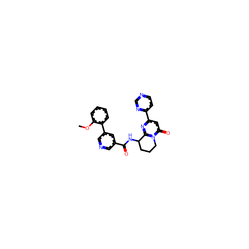 COc1ccccc1-c1cncc(C(=O)NC2CCCn3c2nc(-c2ccncn2)cc3=O)c1